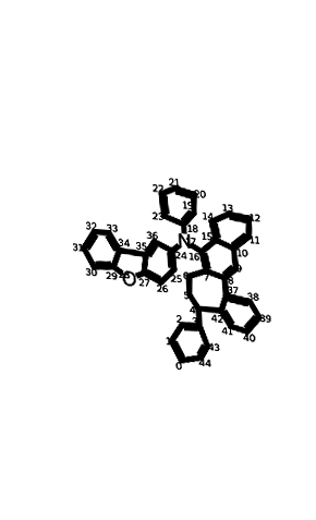 c1ccc(C2CCc3c(cc4ccccc4c3N(c3ccccc3)c3ccc4oc5ccccc5c4c3)-c3ccccc32)cc1